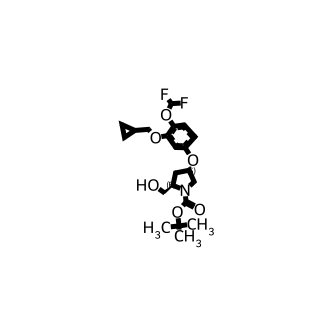 CC(C)(C)OC(=O)N1C[C@@H](Oc2ccc(OC(F)F)c(OCC3CC3)c2)C[C@@H]1CO